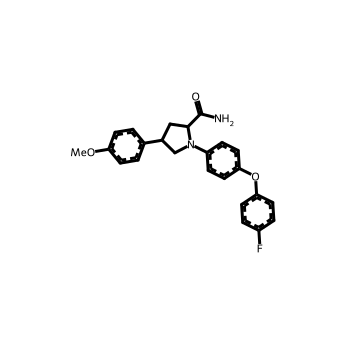 COc1ccc(C2CC(C(N)=O)N(c3ccc(Oc4ccc(F)cc4)cc3)C2)cc1